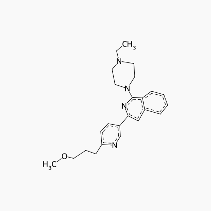 CCN1CCN(c2nc(-c3ccc(CCCOC)nc3)cc3ccccc23)CC1